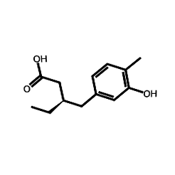 CC[C@@H](CC(=O)O)Cc1ccc(C)c(O)c1